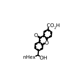 CCCCCCC(O)c1ccc2c(=O)c3cc(C(=O)O)ccc3oc2c1